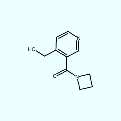 O=C(c1[c]nccc1CO)N1CCC1